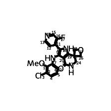 COc1c(Cl)cccc1Nc1c(-c2ccncc2F)[nH]c2c1C(=O)NCC21COC1